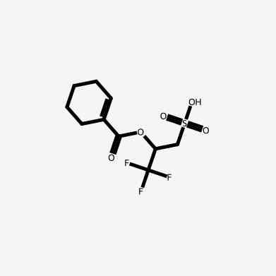 O=C(OC(CS(=O)(=O)O)C(F)(F)F)C1=CCCCC1